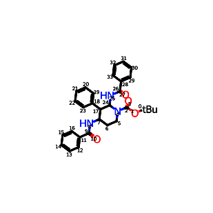 CC(C)(C)OC(=O)N1CCC(NC(=O)c2ccccc2)C(c2ccccc2)C1NC(=O)c1ccccc1